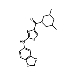 CC1CC(C)CN(C(=O)c2csc(Nc3ccc4c(c3)OCO4)n2)C1